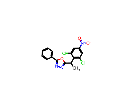 CC(c1nnc(-c2ccccc2)o1)c1c(Cl)cc([N+](=O)[O-])cc1Cl